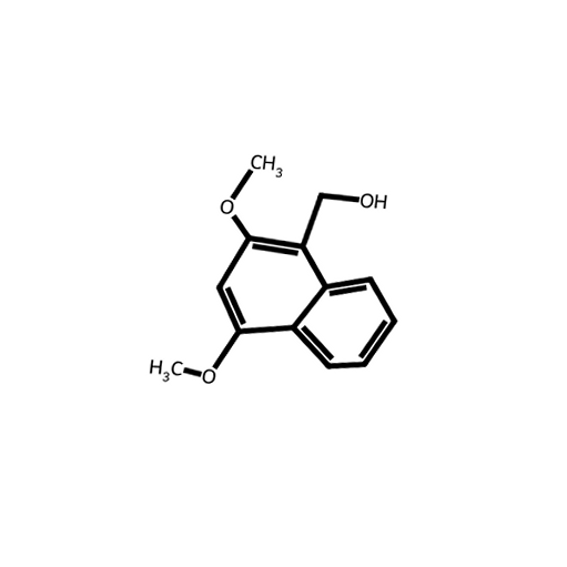 COc1cc(OC)c2ccccc2c1CO